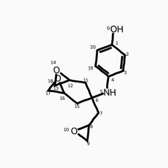 Oc1ccc(NC(CC2CO2)(CC2CO2)CC2CO2)cc1